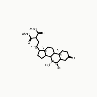 CC[C@@H]1C2CC(=O)CC[C@]2(C)C2CC[C@@]3(C)C(CCC3[C@H](C)CC(C(=O)OC)C(=O)OC)C2[C@H]1O